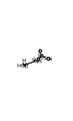 O=C(CCCCCCC(=O)Nc1ccc(C2O[C@@H](CSc3ccncc3)C[C@@H](c3ccccc3)O2)cc1)NO